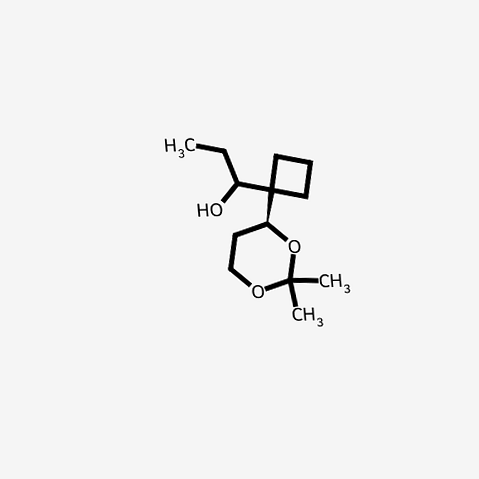 CCC(O)C1([C@@H]2CCOC(C)(C)O2)CCC1